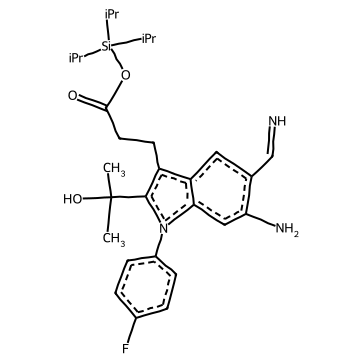 CC(C)[Si](OC(=O)CCc1c(C(C)(C)O)n(-c2ccc(F)cc2)c2cc(N)c(C=N)cc12)(C(C)C)C(C)C